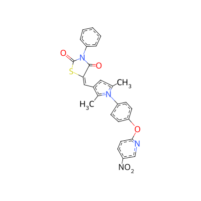 Cc1cc(/C=C2/SC(=O)N(c3ccccc3)C2=O)c(C)n1-c1ccc(Oc2ccc([N+](=O)[O-])cn2)cc1